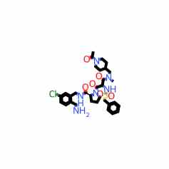 CC(=O)N1CCC(CN(C)C(=O)C(NS(=O)(=O)Cc2ccccc2)C(=O)N2CCC[C@H]2C(=O)NCc2cc(Cl)ccc2CN)CC1